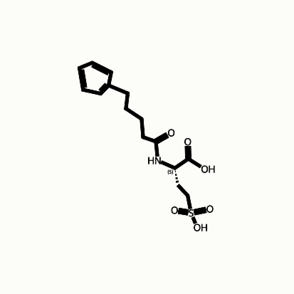 O=C(CCCCc1ccccc1)N[C@@H](CCS(=O)(=O)O)C(=O)O